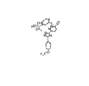 CC(C)(O)Cc1cccc(Cn2nc(-c3nc(-c4ccc(OC(F)(F)F)cc4)no3)ccc2=O)c1